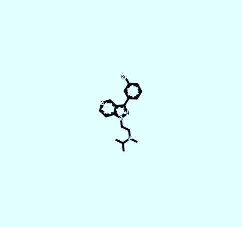 CC(C)N(C)CCn1nc(-c2cccc(Br)c2)c2cnccc21